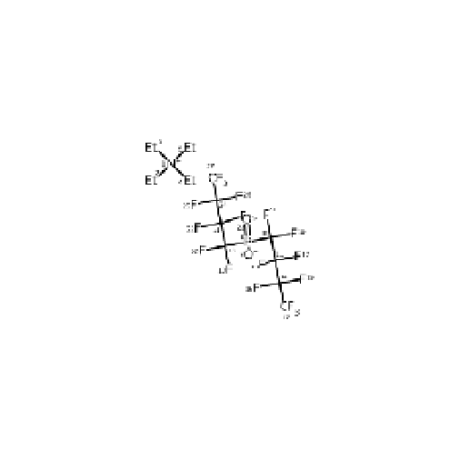 CC[N+](CC)(CC)CC.O=P([O-])(C(F)(F)C(F)(F)C(F)(F)C(F)(F)F)C(F)(F)C(F)(F)C(F)(F)C(F)(F)F